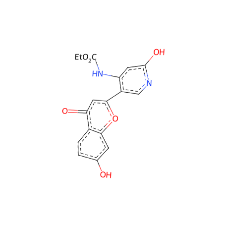 CCOC(=O)Nc1cc(O)ncc1-c1cc(=O)c2ccc(O)cc2o1